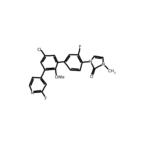 COc1c(-c2ccnc(F)c2)cc(Cl)cc1-c1ccc(-n2ccn(C)c2=O)c(F)c1